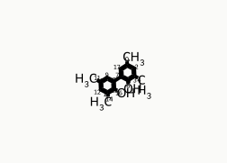 Cc1cc(C)c(O)c(-c2cc(C)cc(C)c2O)c1